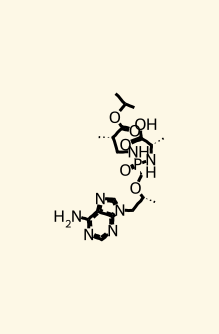 CC(C)OC(=O)[C@@H](C)CN[P@@](=O)(CO[C@H](C)Cn1cnc2c(N)ncnc21)N[C@@H](C)C(=O)O